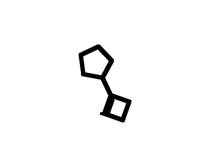 [C]1=C(C2CCCC2)CC1